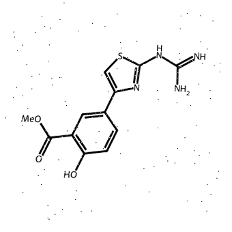 COC(=O)c1cc(-c2csc(NC(=N)N)n2)ccc1O